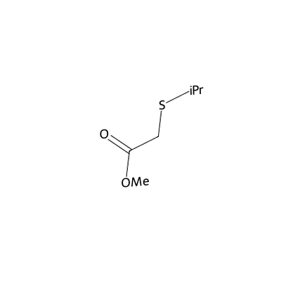 COC(=O)CSC(C)C